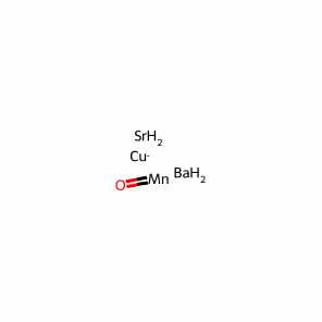 [BaH2].[Cu].[O]=[Mn].[SrH2]